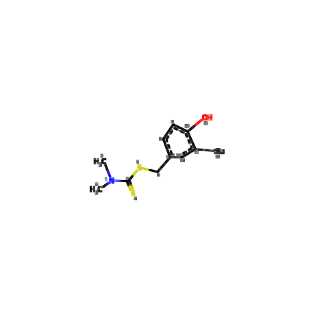 CN(C)C(=S)SCc1ccc(O)c(C(C)(C)C)c1